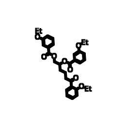 CCOc1cccc(C(=O)OCC(CCCC(=O)c2ccccc2OCC)OC(=O)c2cccc(OCC)c2)c1